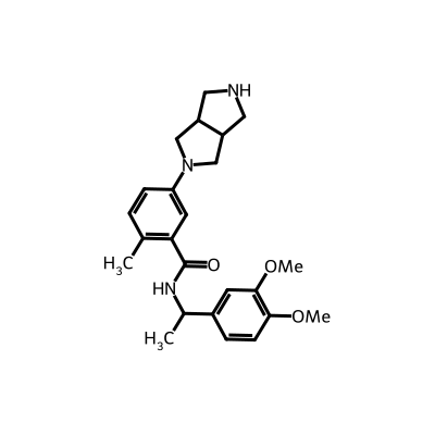 COc1ccc(C(C)NC(=O)c2cc(N3CC4CNCC4C3)ccc2C)cc1OC